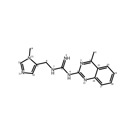 Cc1nc(NC(=N)NCc2cncn2C)nc2ccccc12